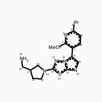 COc1nc(C(C)C)ccc1-c1cnc2sc(N3CCC(CN)C3)nn12